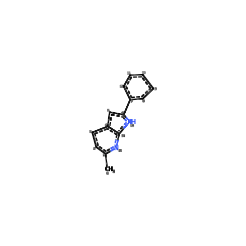 Cc1ccc2cc(-c3ccccc3)[nH]c2n1